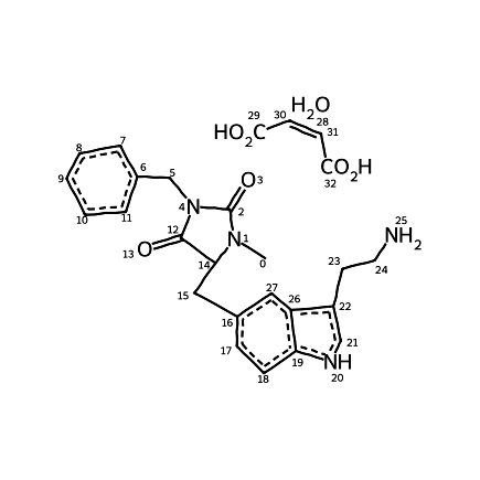 CN1C(=O)N(Cc2ccccc2)C(=O)C1Cc1ccc2[nH]cc(CCN)c2c1.O.O=C(O)/C=C\C(=O)O